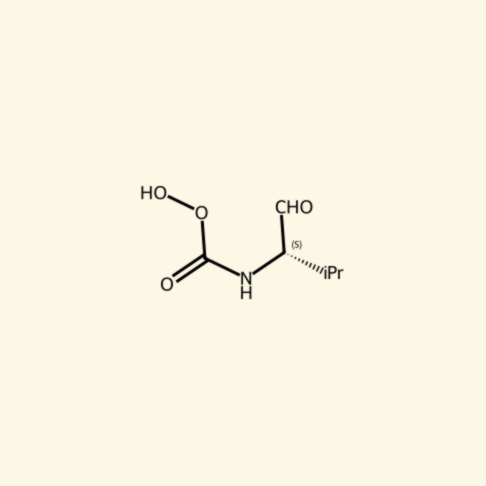 CC(C)[C@@H](C=O)NC(=O)OO